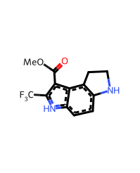 COC(=O)c1c(C(F)(F)F)[nH]c2ccc3c(c12)CCN3